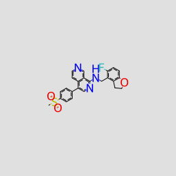 CS(=O)(=O)c1ccc(-c2cnc(NCc3c(F)ccc4c3CCO4)c3cnccc23)cc1